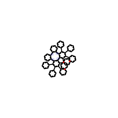 c1ccc(-c2c(-c3ccccc3)c(-c3ccccc3)c3/c(c2-c2ccccc2)=c2/cccc/c2=c2\cccc\c2=c2/c(-c4ccccc4)c(-c4ccccc4)c(-c4ccccc4)c(-c4ccccc4)/c2=3)cc1